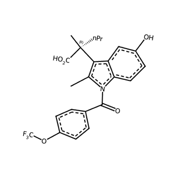 CCC[C@@](C)(C(=O)O)c1c(C)n(C(=O)c2ccc(OC(F)(F)F)cc2)c2ccc(O)cc12